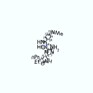 CCCC(CC)c1cc(-c2cnc(N)c(/C(O)=C/C(=N)c3ccc(CNC)cc3)n2)c[nH]c1=O